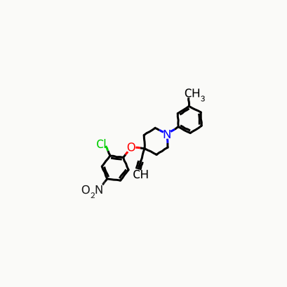 C#CC1(Oc2ccc([N+](=O)[O-])cc2Cl)CCN(c2cccc(C)c2)CC1